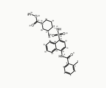 Cc1ccccc1C(=O)Nc1ccc(S(=O)(=O)N[C@H]2CCN(C(=O)OC(C)C)C[C@@H]2C)c2ccccc12